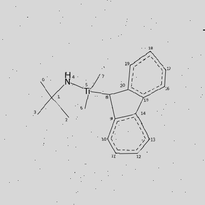 CC(C)(C)[NH][Ti]([CH3])([CH3])[CH]1c2ccccc2-c2ccccc21